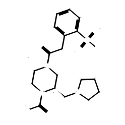 CC(=O)N1CCN(C(=O)Cc2ccccc2S(C)(=O)=O)C[C@H]1CN1CCCC1.Cl